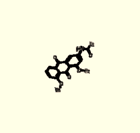 CCOc1cccc2c1C(=O)c1c(OCC)cc(NC(=O)CC)cc1C2=O